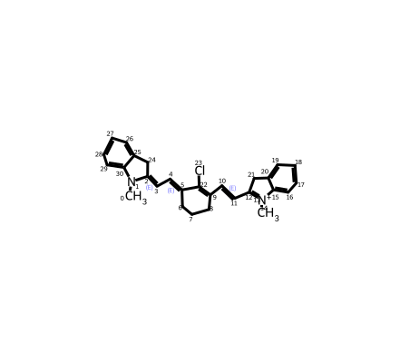 CN1/C(=C/C=C2\CCCC(/C=C/C3=[N+](C)c4ccccc4C3)=C2Cl)Cc2ccccc21